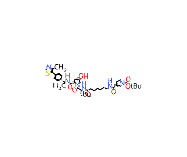 Cc1ncsc1-c1ccc(C(C)NC(=O)[C@@H]2C[C@@H](O)CN2C(=O)C(NC(=O)CCCCCCNC(=O)[C@H]2CCN(C(=O)OC(C)(C)C)C2)C(C)(C)C)cc1